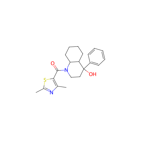 Cc1nc(C)c(C(=O)N2CCC(O)(c3ccccc3)C3CCCCC32)s1